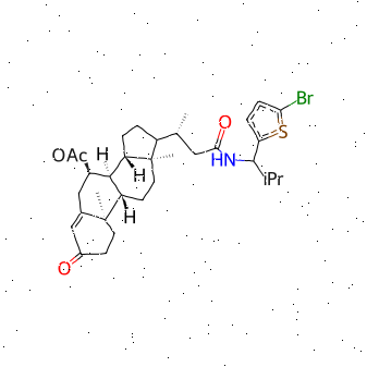 CC(=O)O[C@@H]1CC2=CC(=O)CC[C@]2(C)[C@H]2CC[C@]3(C)C([C@H](C)CC(=O)NC(c4ccc(Br)s4)C(C)C)CC[C@H]3[C@H]12